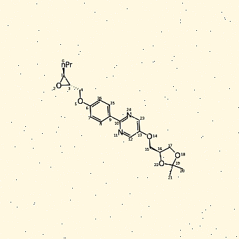 CCC[C@@H]1O[C@H]1COc1ccc(-c2ncc(OC[C@H]3COC(C)(C)O3)cn2)cc1